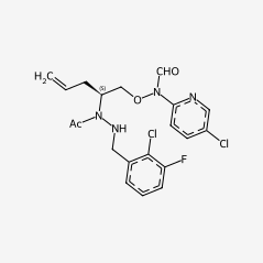 C=CC[C@@H](CON(C=O)c1ccc(Cl)cn1)N(NCc1cccc(F)c1Cl)C(C)=O